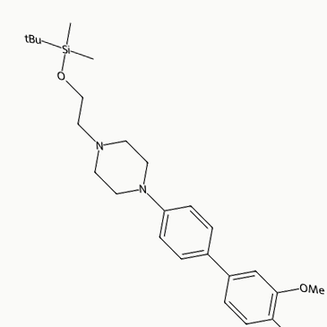 COc1ccc(-c2ccc(N3CCN(CCO[Si](C)(C)C(C)(C)C)CC3)cc2)cc1OC